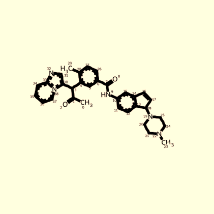 CC(=O)C(c1cc(C(=O)Nc2ccc3c(c2)C=CC3N2CCN(C)CC2)ccc1C)c1cnc2ccccn12